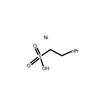 CCCCCS(=O)(=O)O.[Ni]